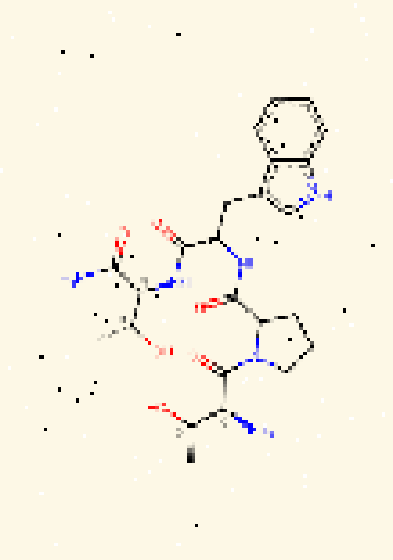 C[C@@H](O)[C@H](N)C(=O)N1CCCC1C(=O)NC(Cc1c[nH]c2ccccc12)C(=O)N[C@H](C(N)=O)[C@@H](C)O